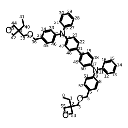 CCC1(COCc2ccc(N(c3ccccc3)c3ccc(-c4ccc(N(c5ccccc5)c5ccc(COCC6(CC)COC6)cc5)cc4)cc3)cc2)COC1